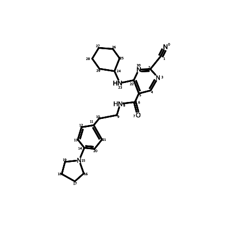 N#Cc1ncc(C(=O)NCCc2ccc(N3CCCC3)cc2)c(NC2CCCCC2)n1